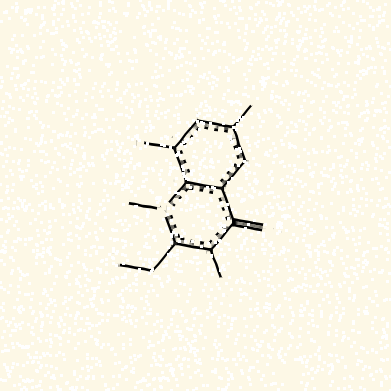 Cn1c(CCl)c(I)c(=O)c2cc(F)cc(F)c21